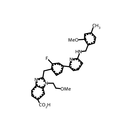 COCCn1c(Cc2ccc(-c3cccc(NCc4ccc(C)cc4OC)n3)cc2F)nc2ccc(C(=O)O)cc21